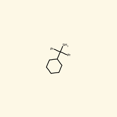 CC(C)C([SiH3])(C(C)C)C1CCCCC1